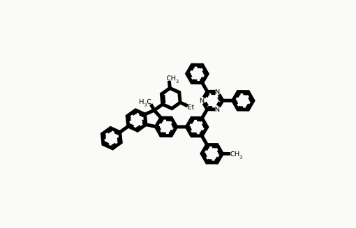 CCC1CC(C2(C)c3ccc(-c4ccccc4)cc3-c3ccc(-c4cc(-c5cccc(C)c5)cc(-c5nc(-c6ccccc6)nc(-c6ccccc6)n5)c4)cc32)=CC(C)C1